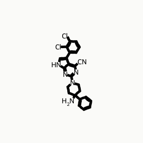 N#Cc1nc(N2CCC(N)(c3ccccc3)CC2)nc2[nH]cc(-c3cccc(Cl)c3Cl)c12